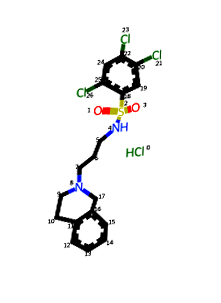 Cl.O=S(=O)(NCCCN1CCc2ccccc2C1)c1cc(Cl)c(Cl)cc1Cl